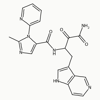 Cc1ncc(C(=O)NC(Cc2c[nH]c3ccncc23)C(=O)C(N)=O)n1-c1ccccn1